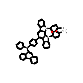 Cc1ccc(-n2c3ccccc3c3cc(-c4ccc(N(c5ccccc5)c5cc6ccccc6c6ccccc56)cc4)c4c5ccccc5n(-c5ccc(C)cc5)c4c32)cc1